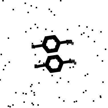 Nc1ccc(Br)cc1.O=[N+]([O-])c1ccc(Br)cc1